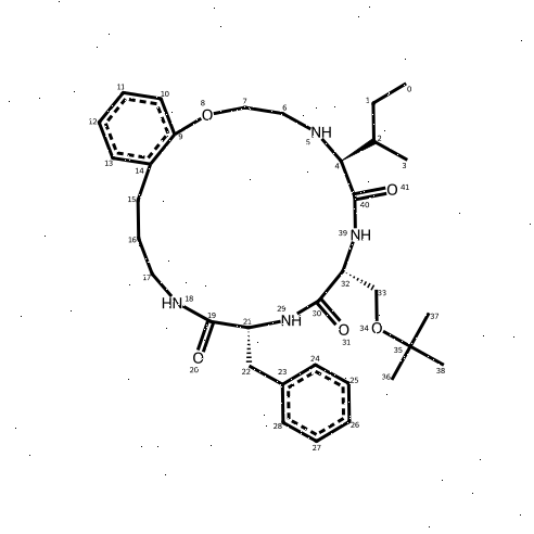 CCC(C)[C@@H]1NCCOc2ccccc2CCCNC(=O)[C@@H](Cc2ccccc2)NC(=O)[C@@H](COC(C)(C)C)NC1=O